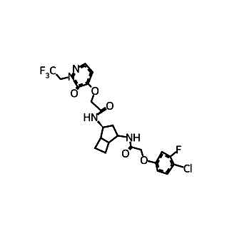 O=C(COc1ccc(Cl)c(F)c1)NC1C[C@H](NC(=O)COc2ccnn(CC(F)(F)F)c2=O)C2CCC12